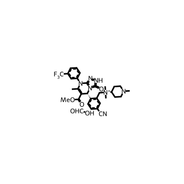 COC(=O)C1=C(C)N(c2cccc(C(F)(F)F)c2)c2n[nH]c(=O)n2[C@@H]1c1ccc(C#N)cc1C[N+](C)(C)C1CCN(C)CC1.O=CO